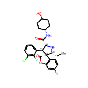 CC(C)(C)C[C@H]1N[C@@H](C(=O)N[C@H]2CC[C@H](O)CC2)[C@H](c2cccc(Cl)c2F)[C@@]12C(=O)Oc1cc(Cl)ccc12